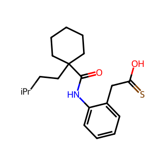 CC(C)CCC1(C(=O)Nc2ccccc2CC(O)=S)CCCCC1